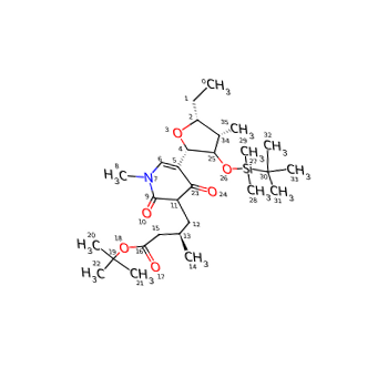 CC[C@H]1O[C@@H](C2=CN(C)C(=O)C(C[C@@H](C)CC(=O)OC(C)(C)C)C2=O)C(O[Si](C)(C)C(C)(C)C)[C@H]1C